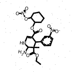 CCOC(=O)C1(C)C(N)NC=C(C(=O)OC2CCCCC2O[N+](=O)[O-])C1c1cccc([N+](=O)[O-])c1